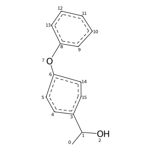 CC(O)c1ccc(Oc2ccccc2)cc1